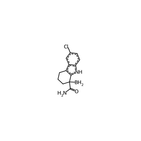 BC1(C(N)=O)CCCc2c1[nH]c1ccc(Cl)cc21